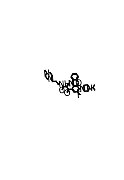 CC(C)N1CCN(c2c(F)cc3c(=O)c(C(=O)NCCCN4CCN(C)CC4)cn4c3c2Oc2ccccc2-4)CC1